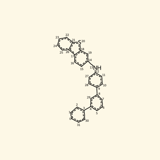 c1ccc(-c2cccc(-c3ccc(Nc4ccc5c(c4)sc4ccccc45)cc3)c2)cc1